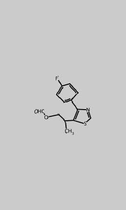 CC(COC=O)c1scnc1-c1ccc(F)cc1